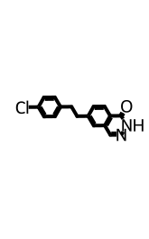 O=c1[nH]ncc2cc(CCc3ccc(Cl)cc3)ccc12